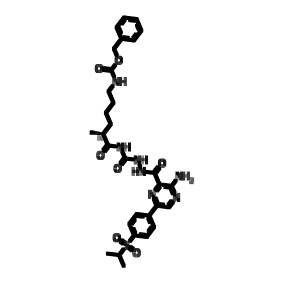 CC(C)S(=O)(=O)c1ccc(-c2cnc(N)c(C(=O)NNC(=O)NC(=O)[C@@H](C)CCCCNC(=O)OCc3ccccc3)n2)cc1